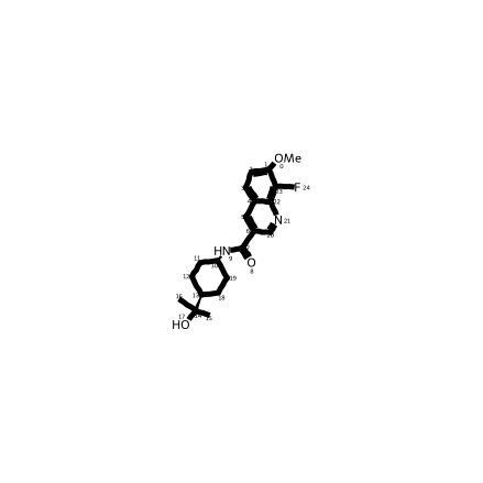 COc1ccc2cc(C(=O)N[C@H]3CC[C@H](C(C)(C)O)CC3)cnc2c1F